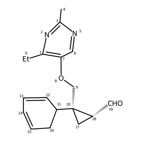 CCc1nc(C)ncc1OC[C@@]1(C2C=CC=CC2)C[C@H]1C=O